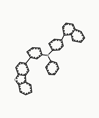 c1ccc(N(c2ccc(-c3cccc4ccccc34)cc2)c2cccc(-c3ccc4sc5ccccc5c4c3)c2)cc1